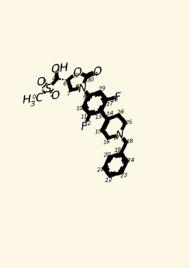 CS(=O)(=O)C(O)[C@H]1CN(c2cc(F)c(C3=CCN(Cc4ccccc4)CC3)c(F)c2)C(=O)O1